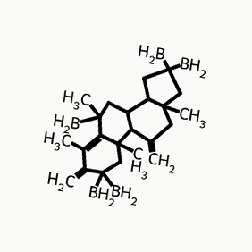 BC1(B)CC2C3CC(B)(C)C4=C(C)C(=C)C(B)(B)CC4(C)C3C(=C)CC2(C)C1